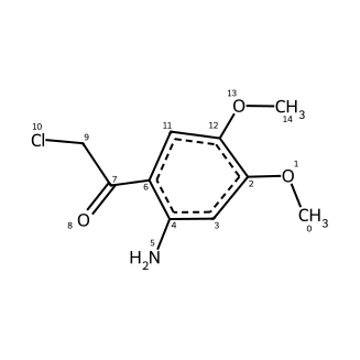 COc1cc(N)c(C(=O)CCl)cc1OC